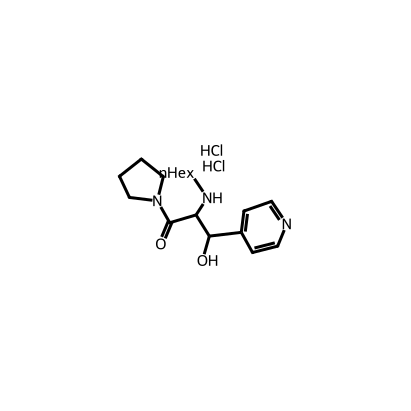 CCCCCCNC(C(=O)N1CCCC1)C(O)c1ccncc1.Cl.Cl